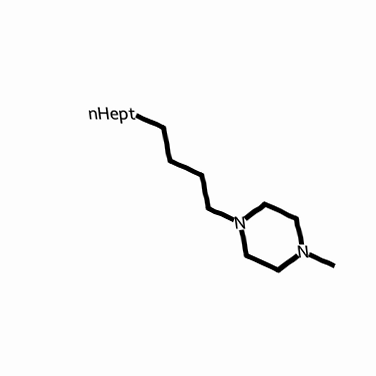 CCCCCCCCCCCN1CCN(C)CC1